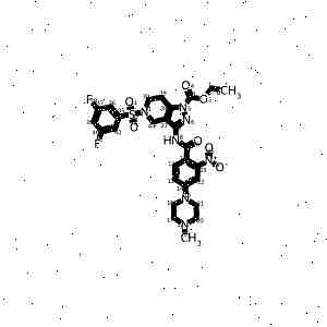 CCOC(=O)n1nc(NC(=O)c2ccc(N3CCN(C)CC3)cc2[N+](=O)[O-])c2c1CCN(S(=O)(=O)c1cc(F)cc(F)c1)C2